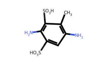 Cc1c(N)cc(S(=O)(=O)O)c(N)c1S(=O)(=O)O